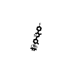 Cc1cc(C2=CC=C(B3OC(C)(C)C(C)(C)O3)C(C)C2)ncc1-c1ccc(F)cc1